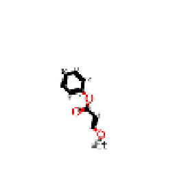 CCOC=CC(=O)Oc1ccccc1